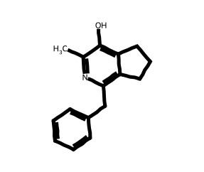 Cc1nc(Cc2ccccc2)c2c(c1O)CCC2